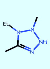 CCN1C(C)=NNN1C